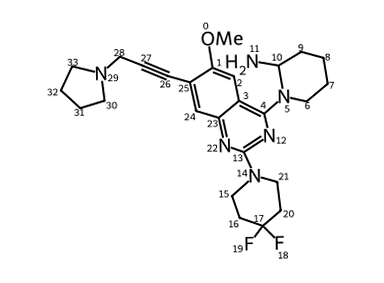 COc1cc2c(N3CCCCC3N)nc(N3CCC(F)(F)CC3)nc2cc1C#CCN1CCCC1